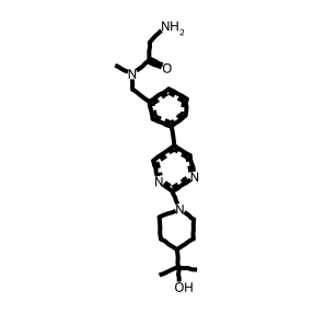 CN(Cc1cccc(-c2cnc(N3CCC(C(C)(C)O)CC3)nc2)c1)C(=O)CN